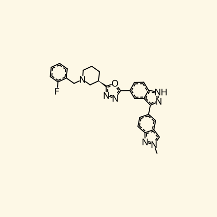 Cn1cc2cc(-c3n[nH]c4ccc(-c5nnc([C@@H]6CCCN(Cc7ccccc7F)C6)o5)cc34)ccc2n1